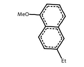 CCc1ccc2c(OC)cccc2c1